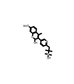 COc1ccc2c(c1)OC(O)C(c1ccc(CC(C)(C)[Si](C)(C)O)nc1)=C2C